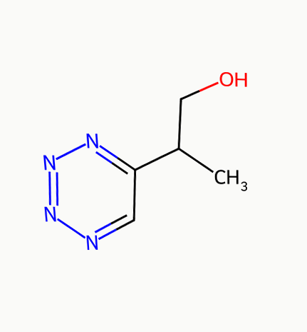 CC(CO)c1cnnnn1